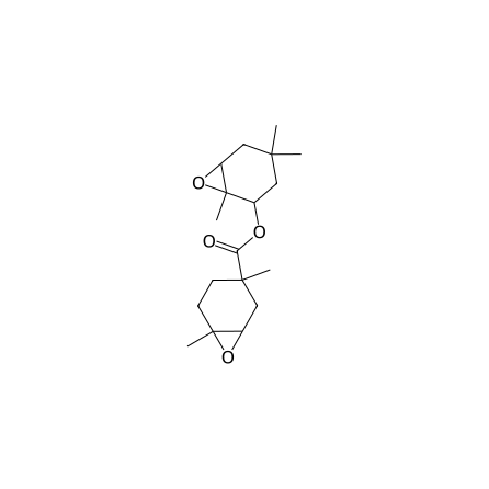 CC1(C)CC(OC(=O)C2(C)CCC3(C)OC3C2)C2(C)OC2C1